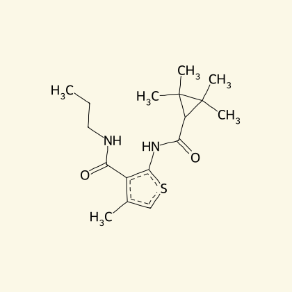 CCCNC(=O)c1c(C)csc1NC(=O)C1C(C)(C)C1(C)C